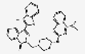 Cc1c(C(=O)c2ccccc2C(=O)NC[C@H]2CC[C@@H](Nc3nc(N(C)C)c4ccccc4n3)CC2)sc2ccccc12